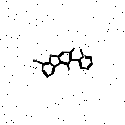 Cc1cc2oc3c(C#N)cccc3c2c(F)c1-c1cccc[n+]1C